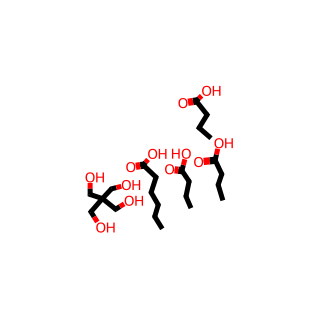 CCCC(=O)O.CCCC(=O)O.CCCC(=O)O.CCCCCC(=O)O.OCC(CO)(CO)CO